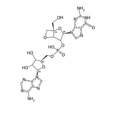 Nc1nc2c(ncn2[C@@H]2O[C@@]3(CO)COC3C2OP(=O)(O)OC[C@H]2O[C@@H](n3cnc4c(N)ncnc43)C(O)C2O)c(=O)[nH]1